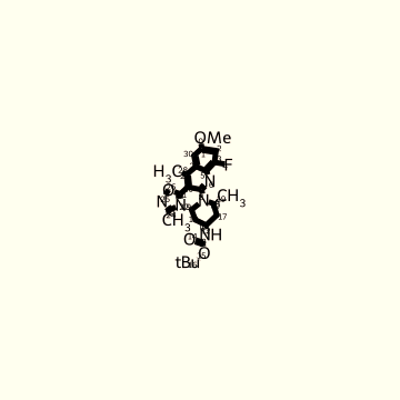 COc1cc(F)c2nc(N3CC[C@H](NC(=O)OC(C)(C)C)C[C@H]3C)c(-c3nc(C)no3)c(C)c2c1